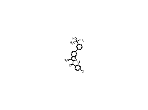 CC(C)(O)c1cccc(-c2ccc3c(N)c(C(=O)c4ccc(Cl)cc4Cl)oc3c2)c1